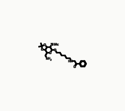 CC(=O)NC1C(OCCCCCCNCC(=O)c2ccccc2)OC(CN)C2OC(C)(C)OC12